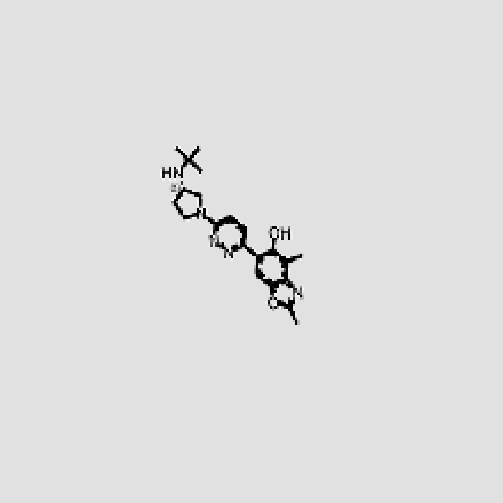 Cc1nc2c(C)c(O)c(-c3ccc(N4CC[C@H](NC(C)(C)C)C4)nn3)cc2o1